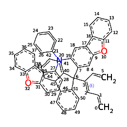 C=C/C=C(\C=C)C1(c2cc3oc4ccccc4c3cc2N(C2=C=C=CC=C2)c2cccc3oc4ccccc4c23)C2=CC=CCC2c2ccccc21